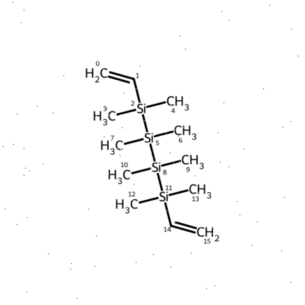 C=C[Si](C)(C)[Si](C)(C)[Si](C)(C)[Si](C)(C)C=C